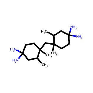 CC1CC(N)(N)CCC1(C)CC1(C)CCC(N)(N)CC1C